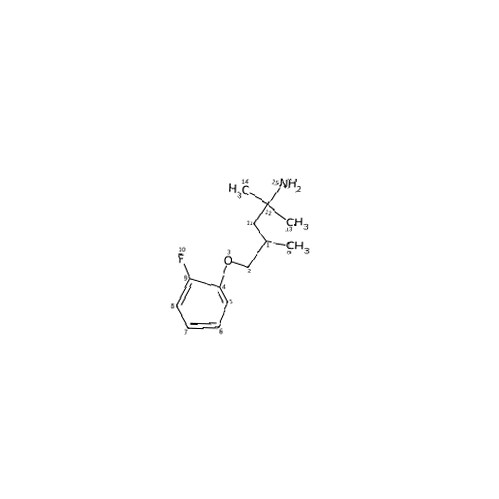 CC(COc1ccccc1F)CC(C)(C)N